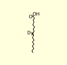 CCCCCCCCC=CCCCCCCCC(=O)O.[Dy]